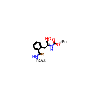 CCCCCCCCNC(=S)c1ccccc1C[C@@H](CO)NC(=O)OC(C)(C)C